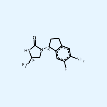 Nc1cc2c(cc1F)[C@H](N1C[C@@H](C(F)(F)F)NC1=O)CC2